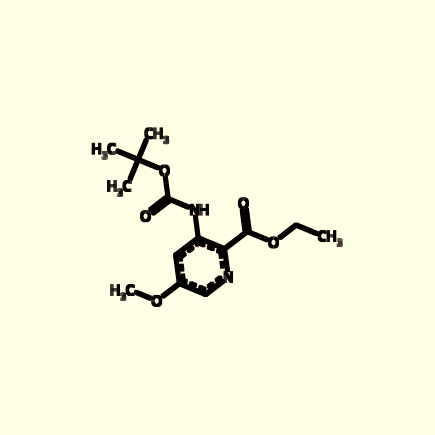 CCOC(=O)c1ncc(OC)cc1NC(=O)OC(C)(C)C